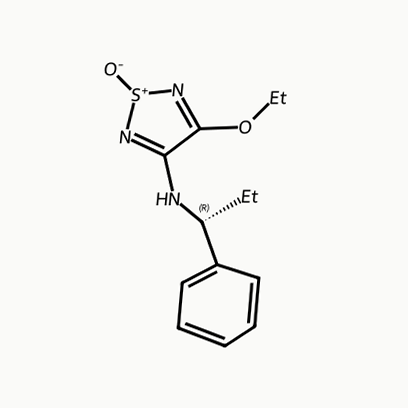 CCOc1n[s+]([O-])nc1N[C@H](CC)c1ccccc1